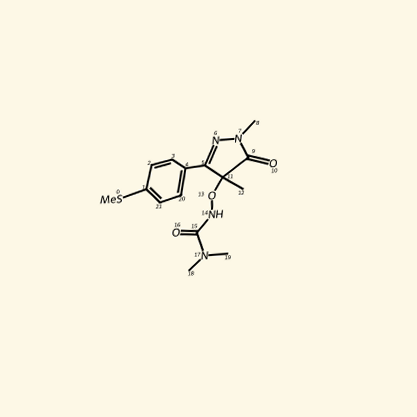 CSc1ccc(C2=NN(C)C(=O)C2(C)ONC(=O)N(C)C)cc1